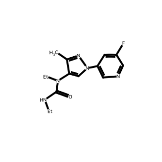 CCNC(=O)N(CC)c1cn(-c2cncc(F)c2)nc1C